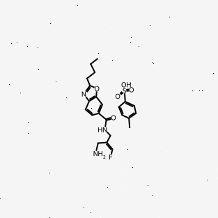 CCCCc1nc2ccc(C(=O)NC/C(=C/F)CN)cc2o1.Cc1ccc(S(=O)(=O)O)cc1